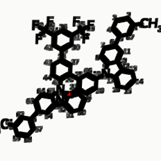 Cc1cccc(-c2ccc3c(c2)c2ccccc2n3-c2ccc(C#N)c(-c3cc(-c4cc(C(F)(F)F)cc(C(F)(F)F)c4)ccc3-n3c4ccccc4c4cc(-c5cccc(C)c5)ccc43)c2)c1